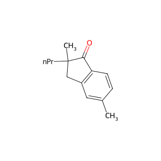 CCCC1(C)Cc2cc(C)ccc2C1=O